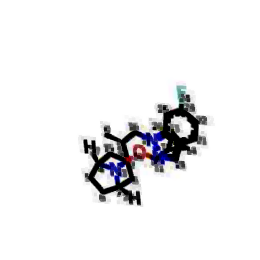 C[C@H](CN1[C@@H]2CC[C@H]1C[C@@H](OCC1CC1)C2)Cn1ncc2ccc(F)cc21